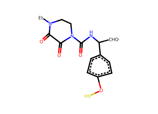 CCN1CCN(C(=O)NC([C]=O)c2ccc(OS)cc2)C(=O)C1=O